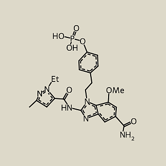 CCn1nc(C)cc1C(=O)Nc1nc2cc(C(N)=O)cc(OC)c2n1CCc1ccc(OP(=O)(O)O)cc1